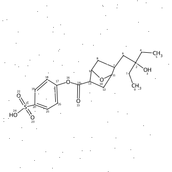 CCC(O)(CC)CC1CC2OC1CC2C(=O)Oc1ccc(S(=O)(=O)O)cc1